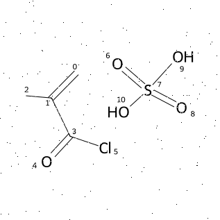 C=C(C)C(=O)Cl.O=S(=O)(O)O